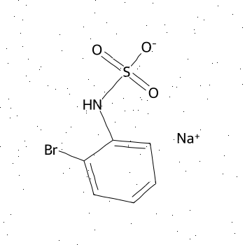 O=S(=O)([O-])Nc1ccccc1Br.[Na+]